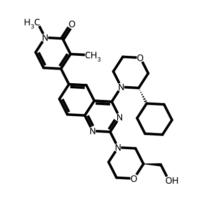 Cc1c(-c2ccc3nc(N4CCO[C@H](CO)C4)nc(N4CCOC[C@@H]4C4CCCCC4)c3c2)ccn(C)c1=O